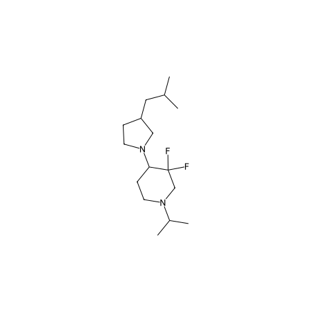 CC(C)CC1CCN(C2CCN(C(C)C)CC2(F)F)C1